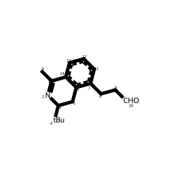 CC1=NC(C(C)(C)C)Cc2c(CCC=O)cccc21